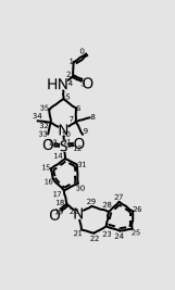 C=CC(=O)NC1CC(C)(C)N(S(=O)(=O)c2ccc(C(=O)N3CCc4ccccc4C3)cc2)C(C)(C)C1